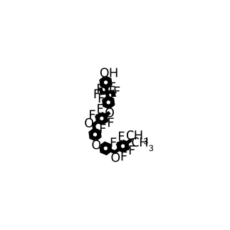 CC(C)c1c(F)c(F)c(C(=O)c2ccc(Oc3ccc(C(=O)c4c(F)c(F)c(Oc5ccc(C(c6ccc(O)cc6)(C(F)(F)F)C(F)(F)F)cc5)c(F)c4F)cc3)cc2)c(F)c1F